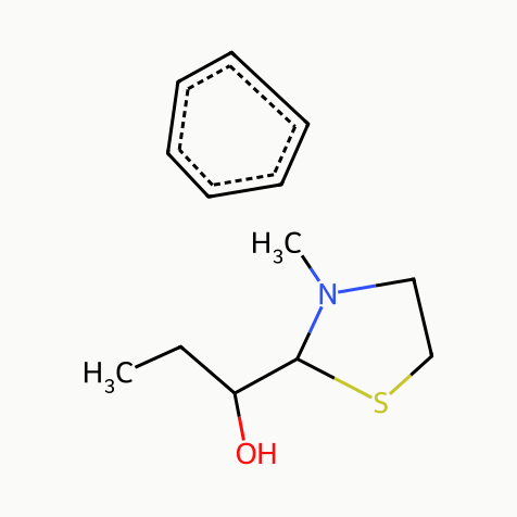 CCC(O)C1SCCN1C.c1ccccc1